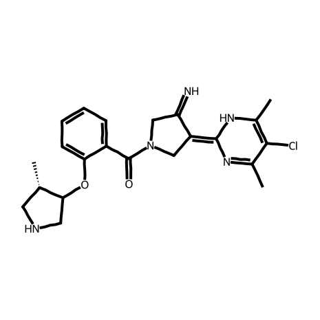 CC1=N/C(=C2\CN(C(=O)c3ccccc3OC3CNC[C@@H]3C)CC2=N)NC(C)=C1Cl